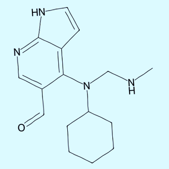 CNCN(c1c(C=O)cnc2[nH]ccc12)C1CCCCC1